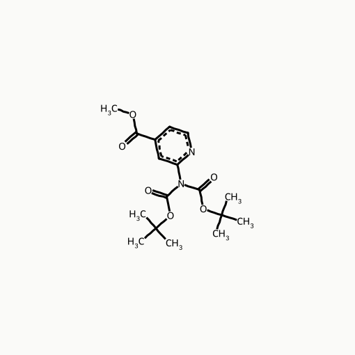 COC(=O)c1ccnc(N(C(=O)OC(C)(C)C)C(=O)OC(C)(C)C)c1